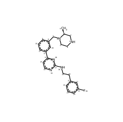 C[C@H]1CNCCN1Cc1cccc(-c2ccnc(NCCc3cccc(F)c3)n2)c1